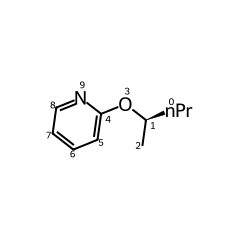 [CH2]CC[C@@H](C)Oc1ccccn1